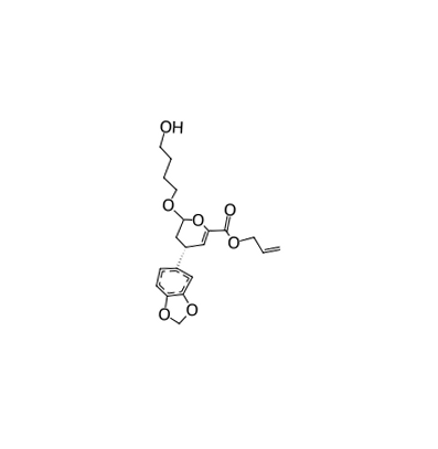 C=CCOC(=O)C1=C[C@H](c2ccc3c(c2)OCO3)CC(OCCCCO)O1